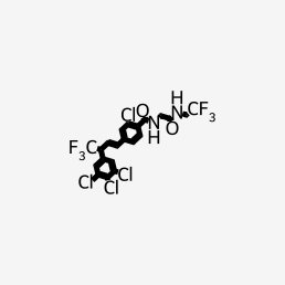 O=C(CNC(=O)c1ccc(/C=C/C(c2cc(Cl)c(Cl)c(Cl)c2)C(F)(F)F)cc1Cl)NCC(F)(F)F